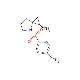 Cc1ccc(S(=O)(=O)N2CCCC23C[C@H]3C)cc1